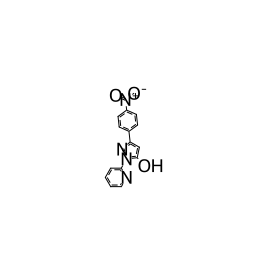 O=[N+]([O-])c1ccc(-c2cc(O)n(-c3ccccn3)n2)cc1